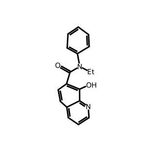 CCN(C(=O)c1ccc2cccnc2c1O)c1ccccc1